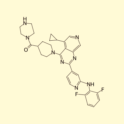 O=C(C1CCN(c2nc(-c3ccnc(Nc4c(F)cccc4F)c3)nc3cncc(C4CC4)c23)CC1)N1CCNCC1